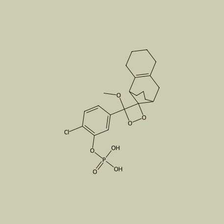 COC1(c2ccc(Cl)c(OP(=O)(O)O)c2)OOC12C1CCCC2C2=C(CCCC2)C1